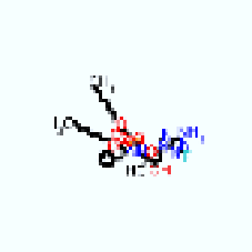 C#C[C@]1(CO[P@](=O)(N[C@@H](Cc2ccccc2)C(=O)OCCCCCCCC)OCC(=O)OCCCCCCCC)O[C@@H](n2cnc3c(N)nc(F)nc32)C[C@@H]1O